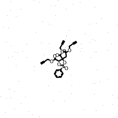 C#CCOC(=O)CC(CC(=O)OCC#C)(OS(=O)(=O)c1ccccc1)C(=O)OCC#C